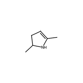 CC1=[C]CC(C)N1